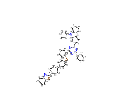 c1ccc(-c2nc(-c3ccc4c5ccccc5n(-c5ccccc5)c4c3)nc(-c3cccc4c3sc3ccc(-c5ccc(-c6nc7ccccc7s6)cc5)cc34)n2)cc1